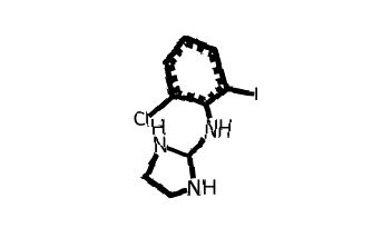 Clc1cccc(I)c1NC1NCCN1